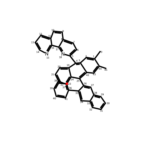 Cc1cc2c(-c3ccc4ccc5cccnc5c4n3)c3ccccc3c(-c3cc4ccccc4cc3-c3ccccc3)c2cc1C